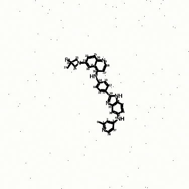 Cc1cc(Nc2ccc3[nH]c(-c4ccc(Nc5ccnc6ccc(N7CC(C)(F)C7)cc56)cc4)nc3c2)ccn1